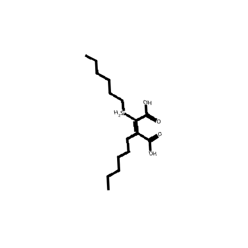 CCCCCC[SiH2]/C(C(=O)O)=C(\CCCCCC)C(=O)O